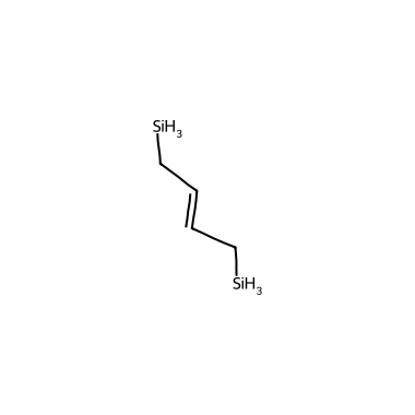 [SiH3]CC=CC[SiH3]